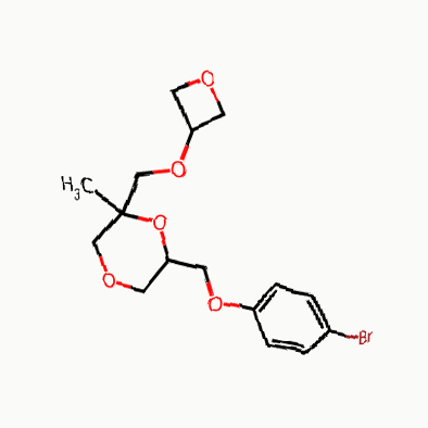 CC1(COC2COC2)COCC(COc2ccc(Br)cc2)O1